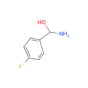 NC(O)c1ccc(F)cc1